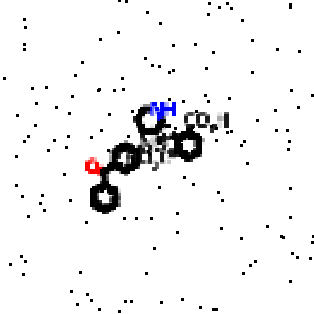 C1CCNCC1.Cc1c(C(=O)O)cccc1C(=O)O.O=C(c1ccccc1)c1ccc([N+](=O)[O-])cc1